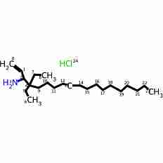 C=CC(N)C(CC)(CC)CCCCCCCCCCCCCCC.Cl